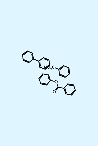 O=C(O)c1ccccc1.O=C(Oc1ccccc1)c1ccccc1.c1ccc(-c2ccccc2)cc1